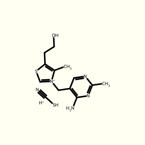 Cc1ncc(C[n+]2csc(CCO)c2C)c(N)n1.N#CS.[H+]